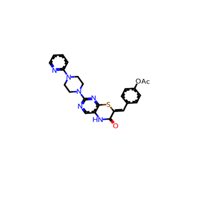 CC(=O)Oc1ccc(/C=C2\Sc3nc(N4CCN(c5ccccn5)CC4)ncc3NC2=O)cc1